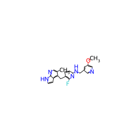 COc1cncc(CNc2ccc(Cc3c(C)cnc4[nH]ccc34)c(F)n2)c1